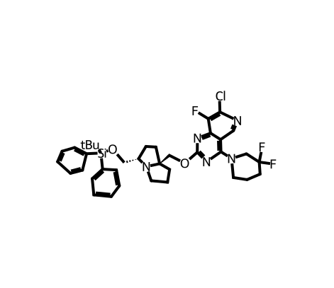 CC(C)(C)[Si](OC[C@@H]1CC[C@]2(COc3nc(N4CCCC(F)(F)C4)c4cnc(Cl)c(F)c4n3)CCCN12)(c1ccccc1)c1ccccc1